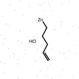 C=CCC[CH2][Zn].Cl